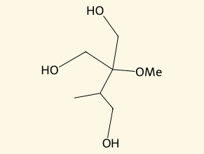 COC(CO)(CO)C(C)CO